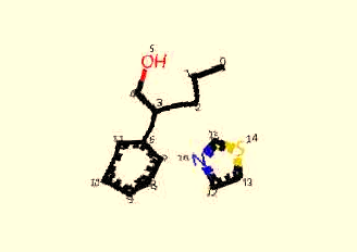 CCCC(CO)c1ccccc1.c1cscn1